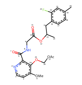 COc1ccnc(C(=O)NCC(=O)OC(C)Cc2ccc(C)cc2F)c1OCOC(C)=O